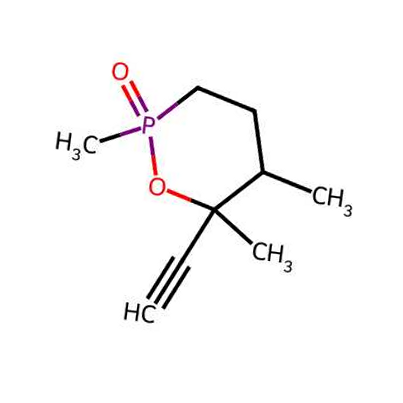 C#CC1(C)OP(C)(=O)CCC1C